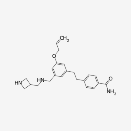 C=CCOc1cc(CCc2ccc(C(N)=O)cc2)cc(CNCC2CNC2)c1